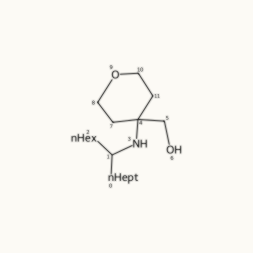 CCCCCCCC(CCCCCC)NC1(CO)CCOCC1